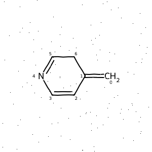 C=C1C=CN=CC1